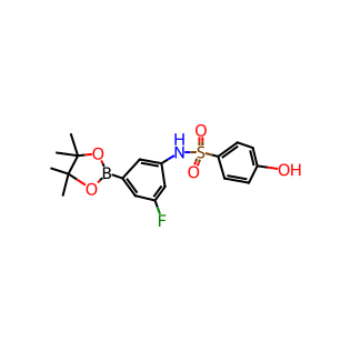 CC1(C)OB(c2cc(F)cc(NS(=O)(=O)c3ccc(O)cc3)c2)OC1(C)C